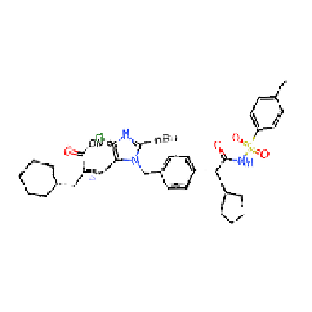 CCCCc1nc(Cl)c(/C=C(/CC2CCCCC2)C(=O)OC)n1Cc1ccc(C(C(=O)NS(=O)(=O)c2ccc(C)cc2)C2CCCC2)cc1